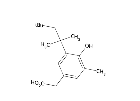 Cc1cc(CC(=O)O)cc(C(C)(C)CC(C)(C)C)c1O